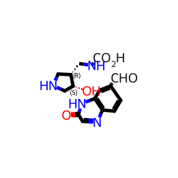 O=C(O)NC[C@H]1CNC[C@H]1O.O=Cc1ccc2ncc(=O)[nH]c2c1